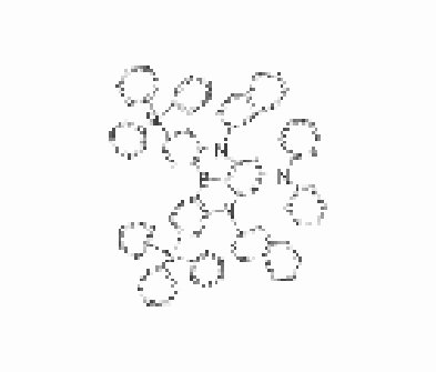 c1ccc(N(c2ccccc2)c2cc3c4c(c2)N(c2ccc5ccccc5c2)c2cc([Si](c5ccccc5)(c5ccccc5)c5ccccc5)ccc2B4c2ccc([Si](c4ccccc4)(c4ccccc4)c4ccccc4)cc2N3c2ccc3ccccc3c2)cc1